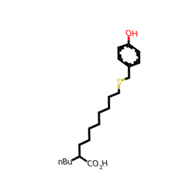 CCCCC(CCCCCCCCSCc1ccc(O)cc1)C(=O)O